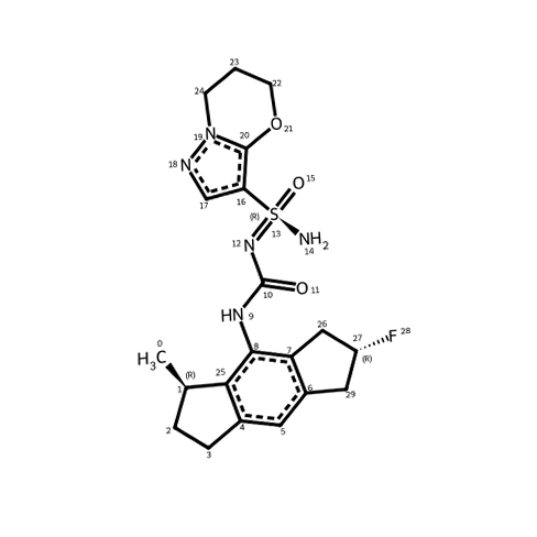 C[C@@H]1CCc2cc3c(c(NC(=O)N=[S@@](N)(=O)c4cnn5c4OCCC5)c21)C[C@H](F)C3